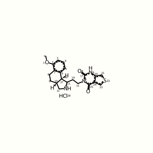 COc1cccc2c1CC[C@H]1CNC(CCn3c(=O)[nH]c4cscc4c3=O)[C@@H]21.Cl